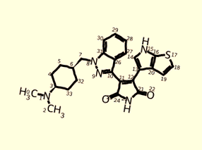 CN(C)[C@H]1CC[C@@H](Cn2nc(C3=C(c4c[nH]c5sccc45)C(=O)NC3=O)c3ccccc32)CC1